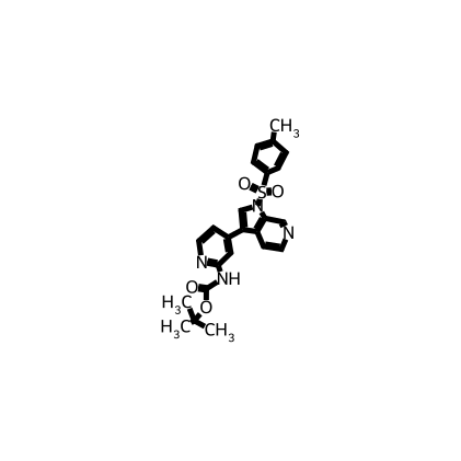 Cc1ccc(S(=O)(=O)n2cc(-c3ccnc(NC(=O)OC(C)(C)C)c3)c3ccncc32)cc1